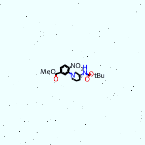 COC(=O)c1ccc([N+](=O)[O-])c(N2CCC[C@H](NC(=O)OC(C)(C)C)C2)c1